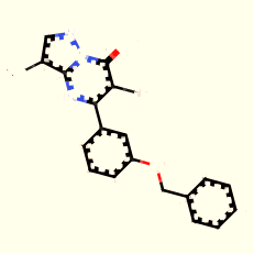 CC(C)c1c(-c2cccc(OCc3ccccc3)c2)[nH]c2c(C#N)cnn2c1=O